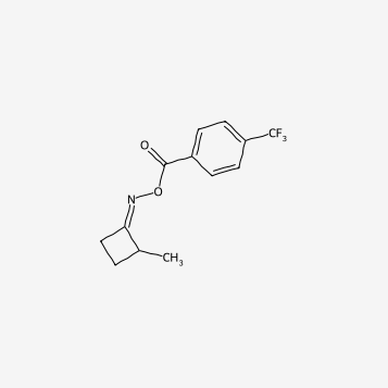 CC1CCC1=NOC(=O)c1ccc(C(F)(F)F)cc1